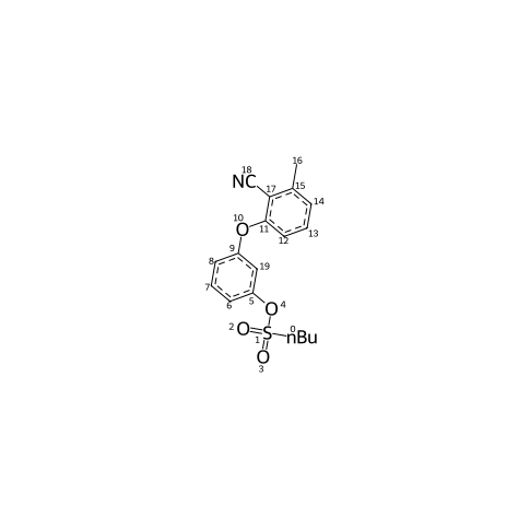 CCCCS(=O)(=O)Oc1cccc(Oc2cccc(C)c2C#N)c1